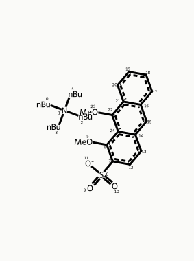 CCCC[N+](CCCC)(CCCC)CCCC.COc1c(S(=O)(=O)[O-])ccc2cc3ccccc3c(OC)c12